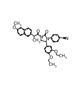 CCOc1ccc(C2CN(C(=O)C(C)c3ccc4cc(OC)ccc4c3)C(=O)N2c2ccc(C#N)cc2)cc1OCC